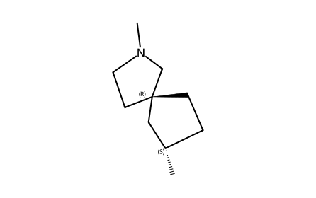 C[C@H]1CC[C@]2(CCN(C)C2)C1